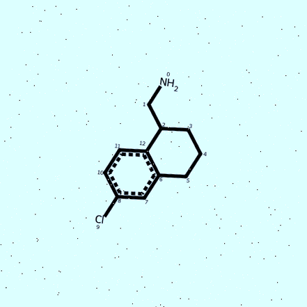 NCC1CCCc2cc(Cl)ccc21